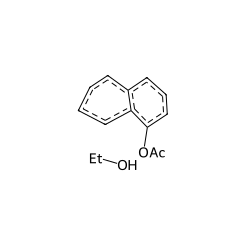 CC(=O)Oc1cccc2ccccc12.CCO